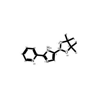 CC1(C)OB(c2cnc(-c3ccccn3)[nH]2)OC1(C)C